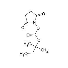 CCC(C)(C)OC(=O)ON1C(=O)CCC1=O